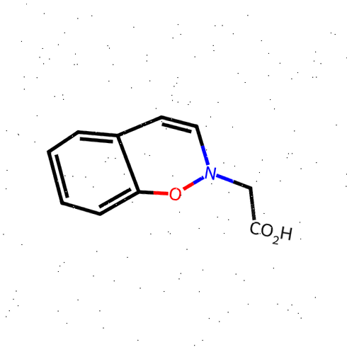 O=C(O)CN1C=Cc2ccccc2O1